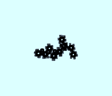 c1ccc(-c2cccc(-c3nc(-c4ccccc4)nc(-c4ccc5c(c4)oc4c([C@H]6c7ccccc7-c7c6ccc6c7oc7ccccc76)cccc45)n3)c2)cc1